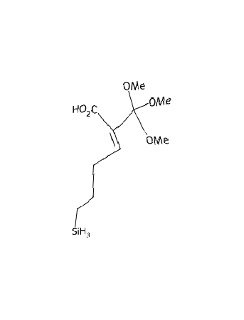 COC(OC)(OC)C(=CCCC[SiH3])C(=O)O